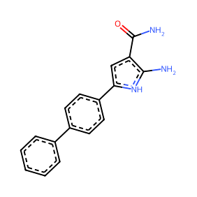 NC(=O)c1cc(-c2ccc(-c3ccccc3)cc2)[nH]c1N